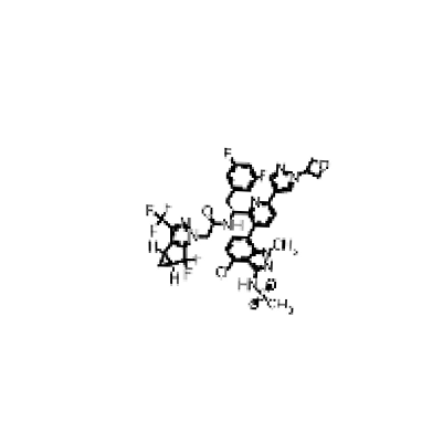 Cn1nc(NS(C)(=O)=O)c2c(Cl)ccc(-c3ccc(-c4cnn(C5COC5)c4)nc3[C@H](Cc3cc(F)cc(F)c3)NC(=O)Cn3nc(C(F)(F)F)c4c3C(F)(F)[C@@H]3C[C@H]43)c21